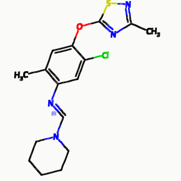 Cc1nsc(Oc2cc(C)c(/N=C/N3CCCCC3)cc2Cl)n1